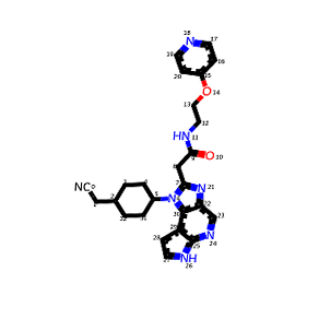 N#CCC1CCC(n2c(CC(=O)NCCOc3ccncc3)nc3cnc4[nH]ccc4c32)CC1